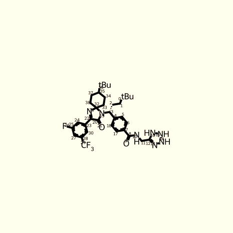 CC(C)(C)CC[C@H](c1ccc(C(=O)NCC2=NNNN2)cc1)N1C(=O)C(c2cc(F)cc(C(F)(F)F)c2)=NC12CCC(C(C)(C)C)CC2